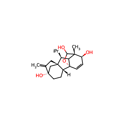 C=C1C[C@]23C[C@@]1(O)CC[C@H]2[C@@]12C=C[C@H](O)[C@@](C)(C(O)O1)C2[C@@H]3C(C)C